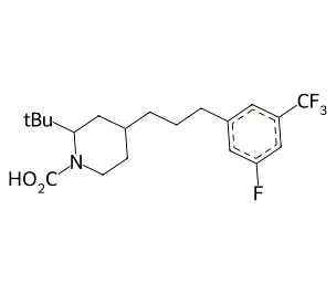 CC(C)(C)C1CC(CCCc2cc(F)cc(C(F)(F)F)c2)CCN1C(=O)O